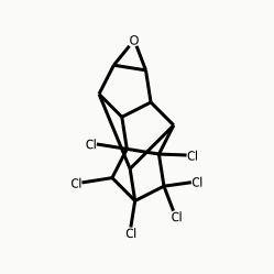 ClC1C2(Cl)C3C4C5OC5C5C4C1(Cl)C(Cl)(C53)C2(Cl)Cl